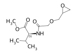 COC(=O)[C@@H](NC(=O)COCC1CO1)C(C)C